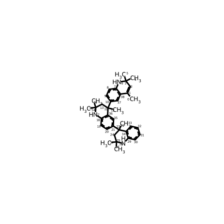 CC1=CC(C)(C)Nc2ccc(C3(C)CC(C)(C)Nc4ccc(C5(C)CC(C)(C)Nc6ccccc65)cc43)cc21